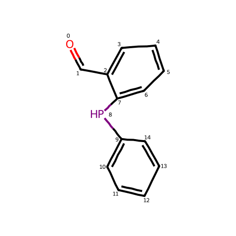 O=Cc1ccccc1Pc1ccccc1